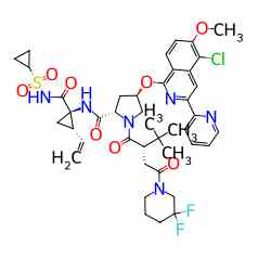 C=C[C@@H]1C[C@]1(NC(=O)[C@@H]1C[C@@H](Oc2nc(-c3ccccn3)cc3c(Cl)c(OC)ccc23)CN1C(=O)[C@@H](CC(=O)N1CCCC(F)(F)C1)C(C)(C)C)C(=O)NS(=O)(=O)C1CC1